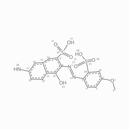 COc1ccc(N=Nc2c(S(=O)(=O)O)cc3cc([NH])ccc3c2O)c(S(=O)(=O)O)c1